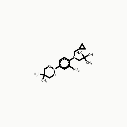 CC(C)(O)CN(CC1CC1)c1ccc(B2OCC(C)(C)CO2)cc1[N+](=O)[O-]